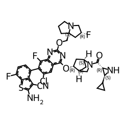 N#Cc1c(N)sc2c(F)ccc(-c3c(Cl)cc4c(O[C@@H]5C[C@@H]6C[C@H]5CN6C(=O)[C@@H]5N[C@H]5C5CC5)nc(OC[C@@]56CCCN5C[C@H](F)C6)nc4c3F)c12